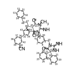 CN1C(=N)N(c2cccc(CN3C(=N)NC(c4ccccc4)(c4ccccc4)C3=O)c2)[C@](C)(c2cc(-c3cccc(C#N)c3)cs2)C(CCCc2ccccc2)C1=O